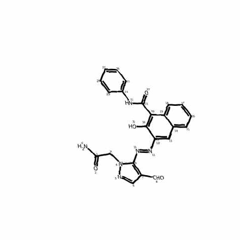 NC(=O)Cn1ncc(C=O)c1/N=N/c1cc2ccccc2c(C(=O)Nc2ccccc2)c1O